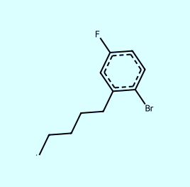 [CH2]CCCCc1cc(F)ccc1Br